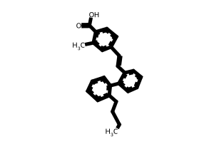 CCCCc1ccccc1-c1ccccc1C=Cc1ccc(C(=O)O)c(C)c1